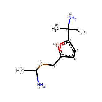 CC(N)SCc1ccc(C(C)(C)N)o1